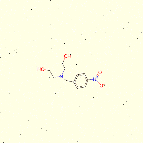 O=[N+]([O-])c1ccc(CN(CCO)CCO)cc1